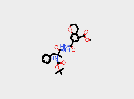 COC(=O)c1cc(C(=O)NNC(=O)C(C)(Cc2ccccc2)NC(=O)OC(C)(C)C)cc2c1CCCO2